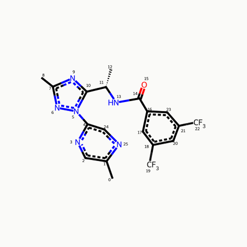 Cc1cnc(-n2nc(C)nc2[C@H](C)NC(=O)c2cc(C(F)(F)F)cc(C(F)(F)F)c2)cn1